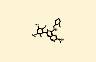 CNc1ncc2cc(-c3c(F)c(OC)cc(OC)c3F)nc(NCC3CCCN3C)c2n1